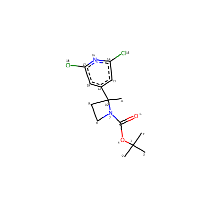 CC(C)(C)OC(=O)N1CCC1(C)c1cc(Cl)nc(Cl)c1